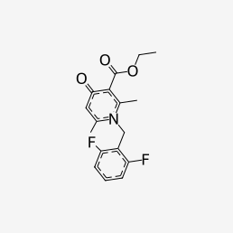 CCOC(=O)c1c(C)n(Cc2c(F)cccc2F)c(C)cc1=O